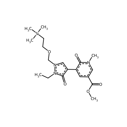 CCn1c(=O)c(-c2cc(C(=O)OC)cn(C)c2=O)cn1COCC[Si](C)(C)C